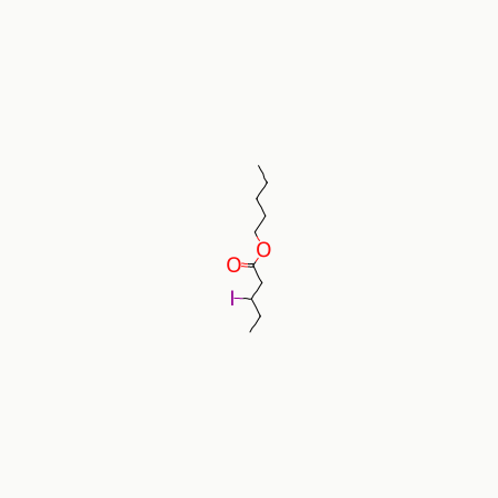 CCCCCOC(=O)CC(I)CC